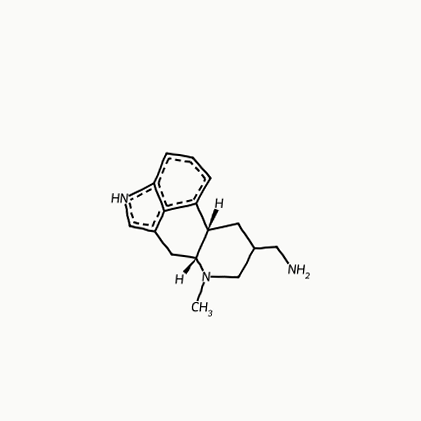 CN1CC(CN)C[C@H]2c3cccc4[nH]cc(c34)C[C@H]21